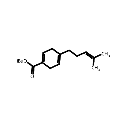 CC(C)=CCCC1=CCC(C(=O)OCC(C)C)=CC1